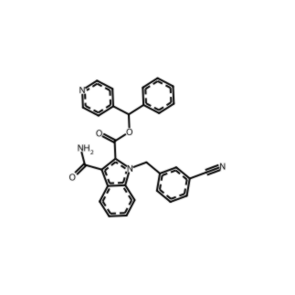 N#Cc1cccc(Cn2c(C(=O)OC(c3ccccc3)c3ccncc3)c(C(N)=O)c3ccccc32)c1